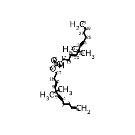 C=CCCC#CC(C)(C)C=CCCO[PH](=O)OCCC=CC(C)(C)C#CCCC=C